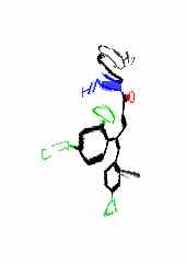 C=CCNC(=O)/C=C/C(=C/c1ccc(Cl)cc1)c1ccc(Cl)cc1Cl